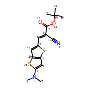 CN(C)c1cc2sc(/C=C(\C#N)C(=O)OC(C)(C)C)cc2s1